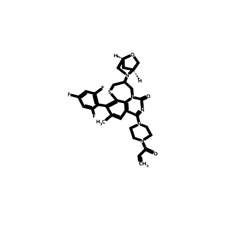 C=CC(=O)N1CCN(c2nc(=O)n3c4c(c(-c5c(F)cc(F)cc5F)c(C)cc24)SCC(N2C[C@@H]4C[C@H]2CO4)C3)CC1